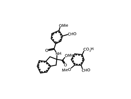 COC(=O)C1(NC(=O)c2ccc(OC)c(C=O)c2)Cc2ccccc2C1.COc1ccc(C(=O)O)cc1C=O